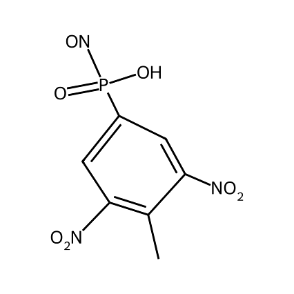 Cc1c([N+](=O)[O-])cc(P(=O)(O)N=O)cc1[N+](=O)[O-]